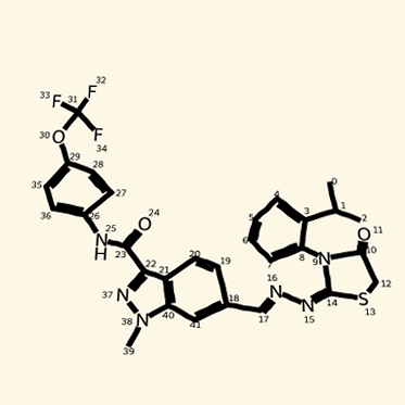 CC(C)c1ccccc1N1C(=O)CS/C1=N/N=C/c1ccc2c(C(=O)Nc3ccc(OC(F)(F)F)cc3)nn(C)c2c1